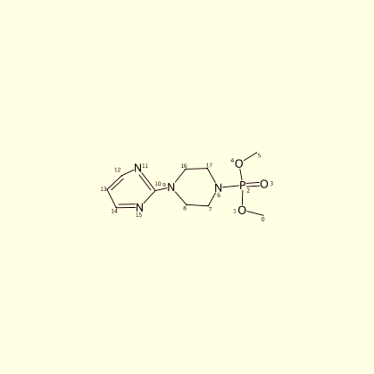 COP(=O)(OC)N1CCN(c2ncccn2)CC1